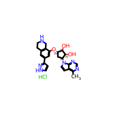 Cc1ncnc2c1ccn2[C@@H]1C[C@H](Oc2cc(-c3cc[nH]n3)cc3c2CNCC3)[C@@H](O)[C@H]1O.Cl